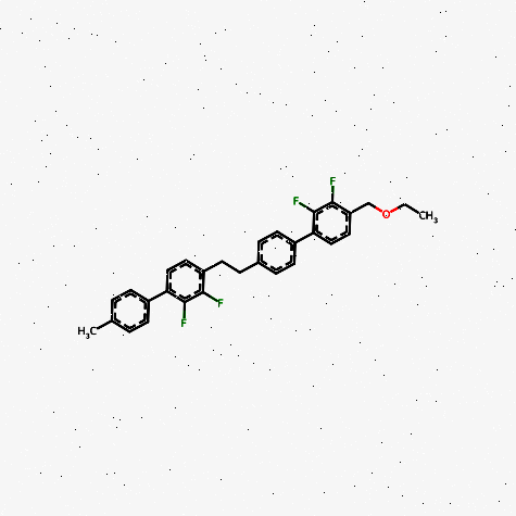 CCOCc1ccc(-c2ccc(CCc3ccc(-c4ccc(C)cc4)c(F)c3F)cc2)c(F)c1F